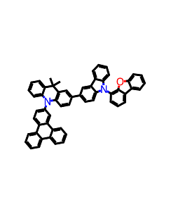 CC1(C)c2ccccc2N(c2ccc3c4ccccc4c4ccccc4c3c2)c2ccc(-c3ccc4c(c3)c3ccccc3n4-c3cccc4c3oc3ccccc34)cc21